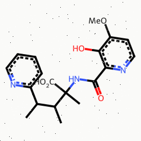 COc1ccnc(C(=O)NC(C)(C(=O)O)C(C)C(C)c2ccccn2)c1O